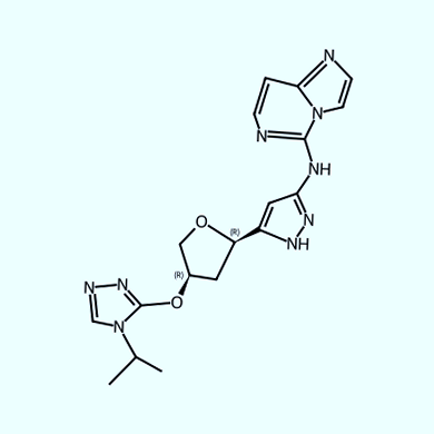 CC(C)n1cnnc1O[C@H]1CO[C@@H](c2cc(Nc3nccc4nccn34)n[nH]2)C1